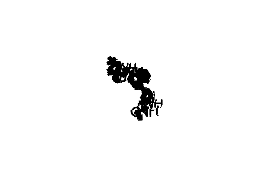 COc1ccc(C(C)(C)C)cc1NC(=O)Nc1ccc(-c2cnc3[nH]c(NC(C)=O)nc3c2)c2ccccc12